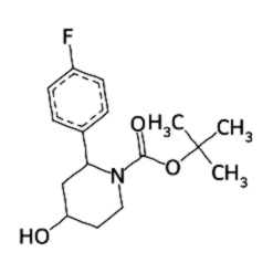 CC(C)(C)OC(=O)N1CCC(O)CC1c1ccc(F)cc1